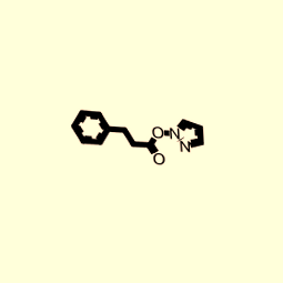 O=C(CCc1ccccc1)On1cccn1